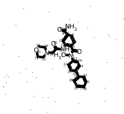 CN(C(=O)c1ccc(C(N)=O)cc1NC(=O)CN1CCOCC1)c1ccc(-c2ccccc2)cc1